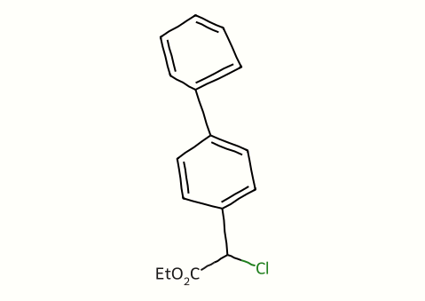 CCOC(=O)C(Cl)c1ccc(-c2ccccc2)cc1